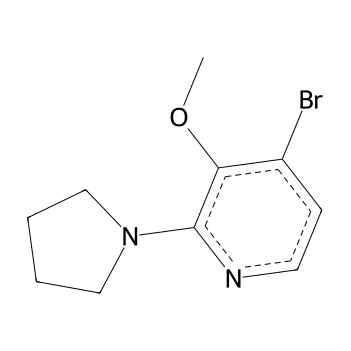 COc1c(Br)ccnc1N1CCCC1